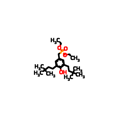 CCOP(=O)(Cc1cc(CCC(C)(C)C)c(O)c(CCC(C)(C)C)c1)OCC